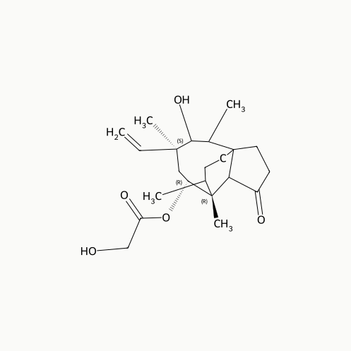 C=C[C@]1(C)C[C@@H](OC(=O)CO)[C@]2(C)C(C)CCC3(CCC(=O)C32)C(C)C1O